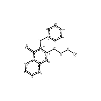 O=c1c2cccnc2nc(CCCBr)n1Cc1ccccc1